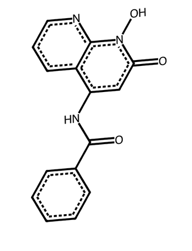 O=C(Nc1cc(=O)n(O)c2ncccc12)c1ccccc1